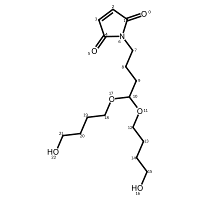 O=C1C=CC(=O)N1CCCC(OCCCCO)OCCCCO